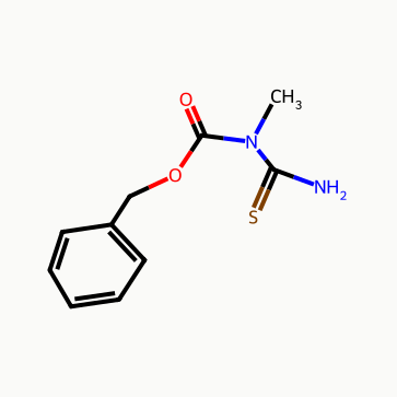 CN(C(=O)OCc1ccccc1)C(N)=S